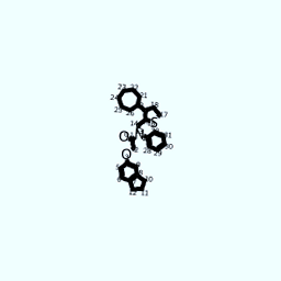 O=C(COc1ccc2c(c1)CCC2)N(CC1SCCC1C1CCCCCC1)c1ccccc1